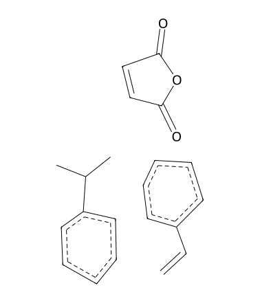 C=Cc1ccccc1.CC(C)c1ccccc1.O=C1C=CC(=O)O1